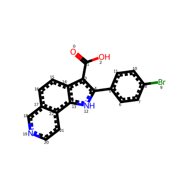 O=C(O)c1c(-c2ccc(Br)cc2)[nH]c2c1ccc1cnccc12